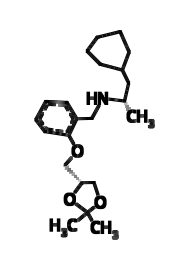 C[C@@H](CC1CCCCC1)NCc1ccccc1OC[C@@H]1COC(C)(C)O1